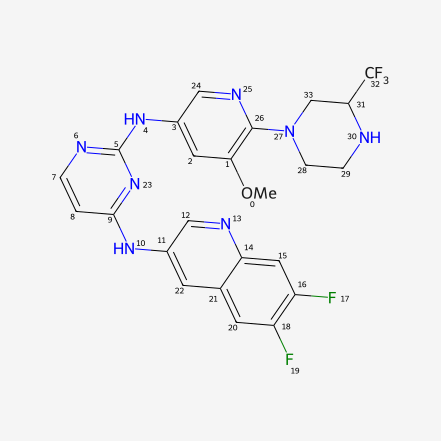 COc1cc(Nc2nccc(Nc3cnc4cc(F)c(F)cc4c3)n2)cnc1N1CCNC(C(F)(F)F)C1